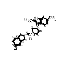 Cc1ccc2c(c1)nc(C)n2[C@H]1CC[C@H](NC[C@H]2Cc3ccc(Br)cc3C2)C1